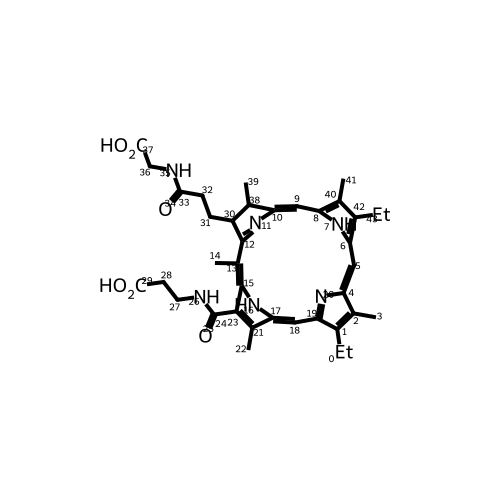 CCC1=C(C)c2cc3[nH]c(cc4nc(c(C)c5[nH]c(cc1n2)c(C)c5C(=O)NCCC(=O)O)C(CCC(=O)NCC(=O)O)C4C)c(C)c3CC